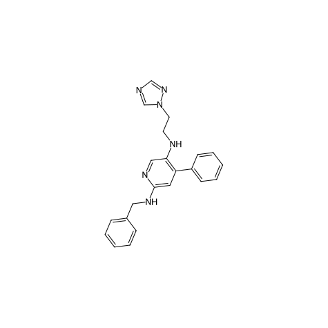 c1ccc(CNc2cc(-c3ccccc3)c(NCCn3cncn3)cn2)cc1